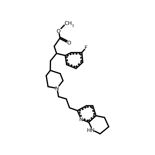 COC(=O)CC(CC1CCN(CCCc2ccc3c(n2)NCCC3)CC1)c1cccc(F)c1